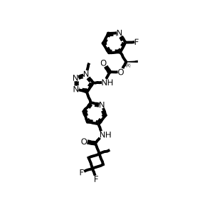 C[C@@H](OC(=O)Nc1c(-c2ccc(NC(=O)C3(C)CC(F)(F)C3)cn2)nnn1C)c1cccnc1F